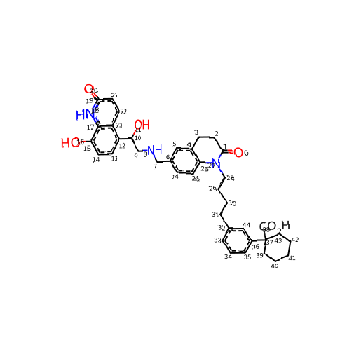 O=C1CCc2cc(CNCC(O)c3ccc(O)c4[nH]c(=O)ccc34)ccc2N1CCCCc1cccc(C2(C(=O)O)CCCCC2)c1